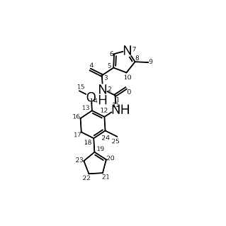 C=C(NC(=C)C1=CN=C(C)C1)NC1=C(OC)CCC(C2=CCCC2)=C1C